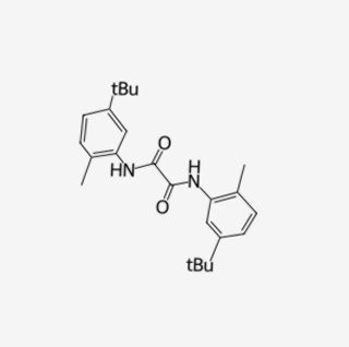 Cc1ccc(C(C)(C)C)cc1NC(=O)C(=O)Nc1cc(C(C)(C)C)ccc1C